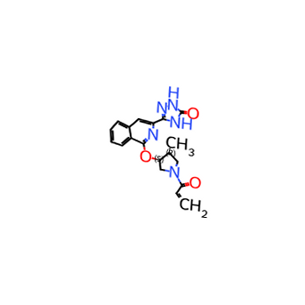 C=CC(=O)N1C[C@@H](C)[C@H](Oc2nc(-c3n[nH]c(=O)[nH]3)cc3ccccc23)C1